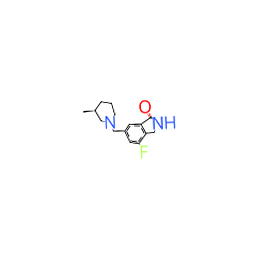 C[C@H]1CCCN(Cc2cc(F)c3c(c2)C(=O)NC3)C1